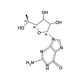 C[C@H](O)[C@H]1O[C@@H](n2cnc3c(=O)[nH]c(N)nc32)C(O)C1O